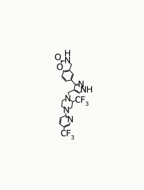 O=C1NCc2cc(-c3n[nH]cc3CN3CCN(c4ccc(C(F)(F)F)cn4)CC3C(F)(F)F)ccc2O1